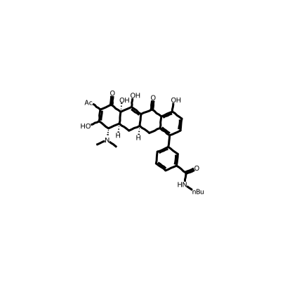 CCCCNC(=O)c1cccc(-c2ccc(O)c3c2C[C@H]2C[C@H]4[C@H](N(C)C)C(O)=C(C(C)=O)C(=O)[C@@]4(O)C(O)=C2C3=O)c1